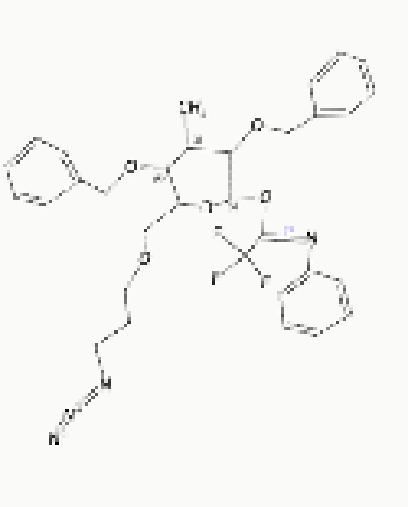 C[C@@H]1C(OCc2ccccc2)[C@H](O/C(=N/c2ccccc2)C(F)(F)F)OC(COCCCN=[N+]=[N-])[C@@H]1OCc1ccccc1